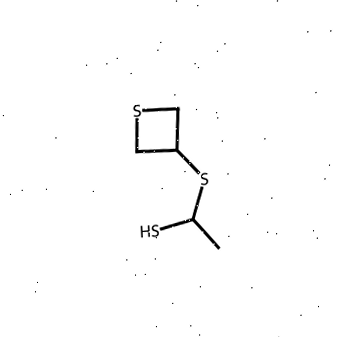 CC(S)SC1CSC1